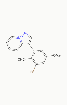 COc1cc(Br)c(C=O)c(-c2cnn3ccccc23)c1